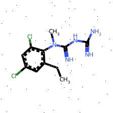 CCc1cc(Cl)cc(Cl)c1N(C)C(=N)NC(=N)N